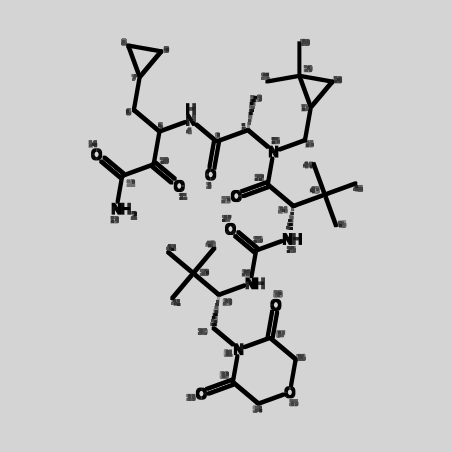 C[C@@H](C(=O)NC(CC1CC1)C(=O)C(N)=O)N(CC1CC1(C)C)C(=O)[C@@H](NC(=O)N[C@H](CN1C(=O)COCC1=O)C(C)(C)C)C(C)(C)C